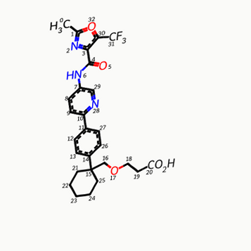 Cc1nc(C(=O)Nc2ccc(-c3ccc(C4(COCCC(=O)O)CCCCC4)cc3)nc2)c(C(F)(F)F)o1